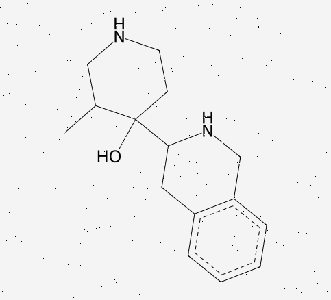 CC1CNCCC1(O)C1Cc2ccccc2CN1